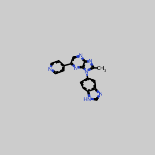 Cc1nc2ncc(-c3ccncc3)nc2n1-c1ccc2[nH]cnc2c1